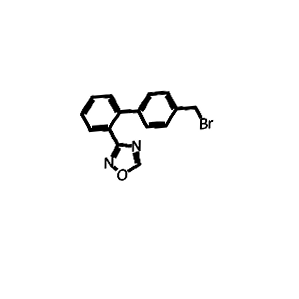 BrCc1ccc(-c2ccccc2-c2ncon2)cc1